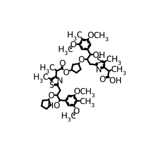 COc1cc(C(O)C(Cc2nc(C(C)C(=O)O)c(C)s2)OC2CCC(OC(=O)C(C)c3nc(CC(OC4CCCC4)C(O)c4cc(OC)c(C)c(OC)c4)sc3C)C2)cc(OC)c1C